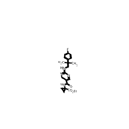 CCOC(=O)C1(NC(=O)c2cnc(NCC(C)(C)c3ccc(F)cc3)nc2)CC1